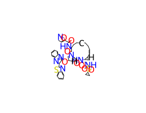 O=C(N[C@H]1CCCCCC=C[C@H]2C[C@@]2(C(=O)NS(=O)(=O)C2CC2)NC(=O)[C@@H]2C[C@@H](Oc3nc4ccccc4nc3-c3nc4ccccc4s3)CN2C1=O)c1ccno1